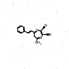 N#CC1=C(C#N)N=C(/C=C/c2ccccc2)CC(N)=N1